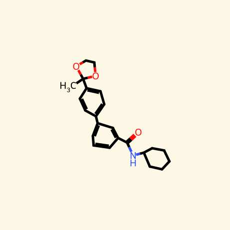 CC1(c2ccc(-c3cccc(C(=O)NC4CCCCC4)c3)cc2)OCCO1